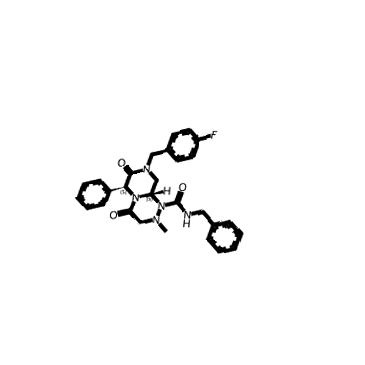 CN1CC(=O)N2[C@@H](c3ccccc3)C(=O)N(Cc3ccc(F)cc3)C[C@@H]2N1C(=O)NCc1ccccc1